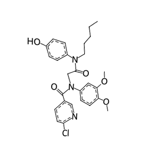 CCCCCN(C(=O)CN(C(=O)c1ccc(Cl)nc1)c1ccc(OC)c(OC)c1)c1ccc(O)cc1